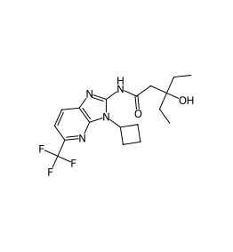 CCC(O)(CC)CC(=O)Nc1nc2ccc(C(F)(F)F)nc2n1C1CCC1